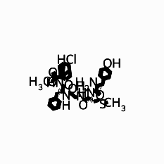 COC(=O)C1(NC(=O)[C@H](Cc2ccccc2)NC(=O)CNC(=O)[C@@H](CCSC)NC(=O)[C@@H](N)Cc2ccc(O)cc2)C2CC3CC(C2)CC1C3.Cl